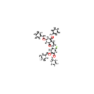 Fc1cc(OCc2ccccc2)c(OCc2ccccc2)cc1C1C=Cc2c(OCc3ccccc3)cc(OCc3ccccc3)cc2O1